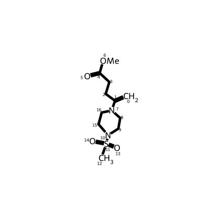 C=C(CCC(=O)OC)N1CCN(S(C)(=O)=O)CC1